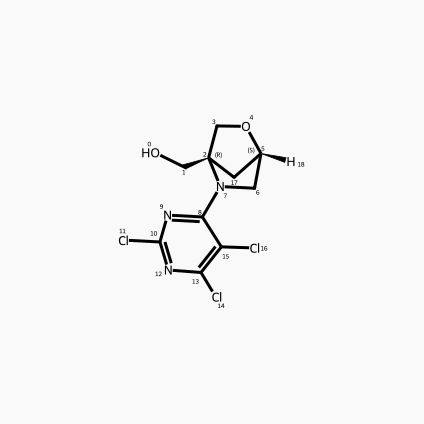 OC[C@]12CO[C@H](CN1c1nc(Cl)nc(Cl)c1Cl)C2